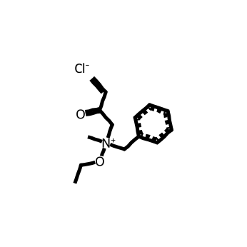 C=CC(=O)C[N+](C)(Cc1ccccc1)OCC.[Cl-]